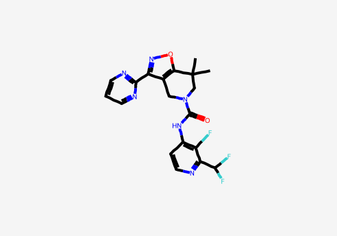 CC1(C)CN(C(=O)Nc2ccnc(C(F)F)c2F)Cc2c(-c3ncccn3)noc21